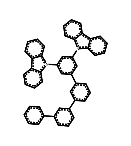 c1ccc(-c2cccc(-c3cccc(-c4cc(-n5c6ccccc6c6ccccc65)cc(-n5c6ccccc6c6ccccc65)c4)c3)c2)cc1